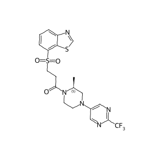 C[C@H]1CN(c2cnc(C(F)(F)F)nc2)CCN1C(=O)CCS(=O)(=O)c1cccc2ncsc12